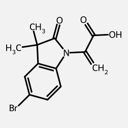 C=C(C(=O)O)N1C(=O)C(C)(C)c2cc(Br)ccc21